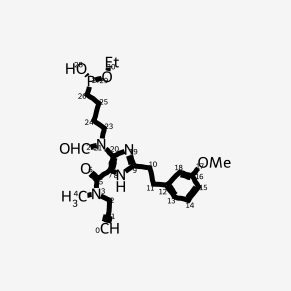 C#CCN(C)C(=O)c1[nH]c(CCc2cccc(OC)c2)nc1N(C=O)CCCCP(O)OCC